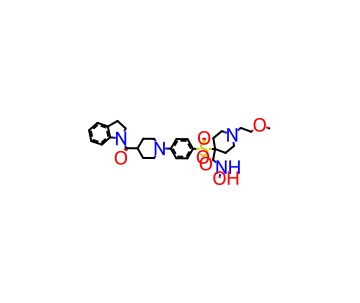 COCCN1CCC(C(=O)NO)(S(=O)(=O)c2ccc(N3CCC(C(=O)N4CCc5ccccc54)CC3)cc2)CC1